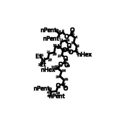 CCCCCCC(CCCC(=O)OCC(CCCCC)CCCCC)OC(=O)OCCN(CCCCN(CC)CC)CCOC(=O)OC(CCCCCC)CCCC(=O)OCC(CCCCC)CCCCC